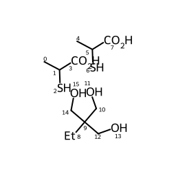 CC(S)C(=O)O.CC(S)C(=O)O.CCC(CO)(CO)CO